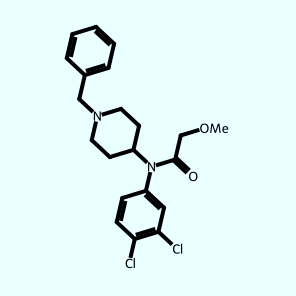 COCC(=O)N(c1ccc(Cl)c(Cl)c1)C1CCN(Cc2ccccc2)CC1